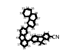 CC1(C)c2cc(C#N)ccc2-c2ccc(-c3cccc4c3-c3cc(C5=CC=C6C=CC7=C(CC=CC=C7)C6C5)ccc3C4)cc21